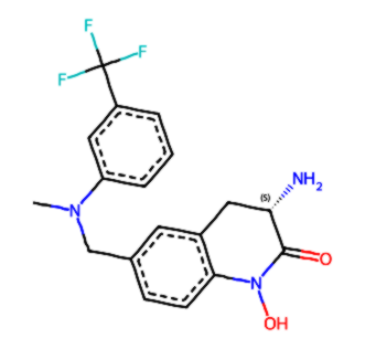 CN(Cc1ccc2c(c1)C[C@H](N)C(=O)N2O)c1cccc(C(F)(F)F)c1